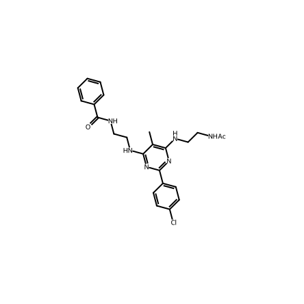 CC(=O)NCCNc1nc(-c2ccc(Cl)cc2)nc(NCCNC(=O)c2ccccc2)c1C